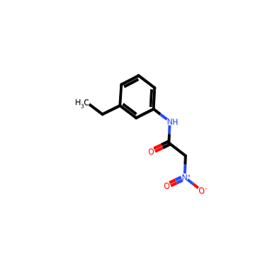 CCc1cccc(NC(=O)C[N+](=O)[O-])c1